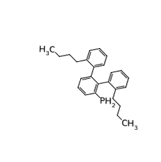 CCCCc1ccccc1-c1cccc(P)c1-c1ccccc1CCCC